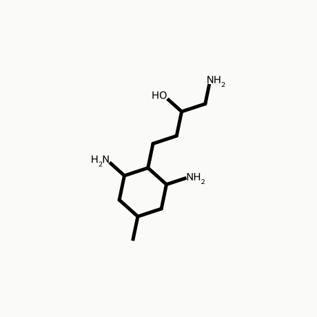 CC1CC(N)C(CCC(O)CN)C(N)C1